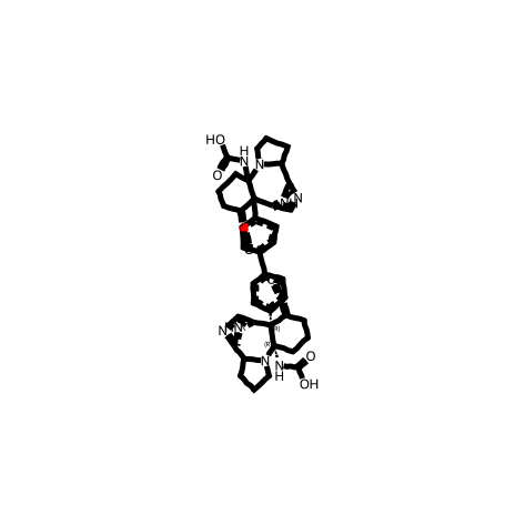 O=C=C1CCCC2(NC(=O)O)N3CCCC3c3ncc([nH]3)C12c1ccc(-c2ccc([C@]34C(=C=O)CCC[C@@]3(NC(=O)O)N3CCCC3c3ncc4[nH]3)cc2)cc1